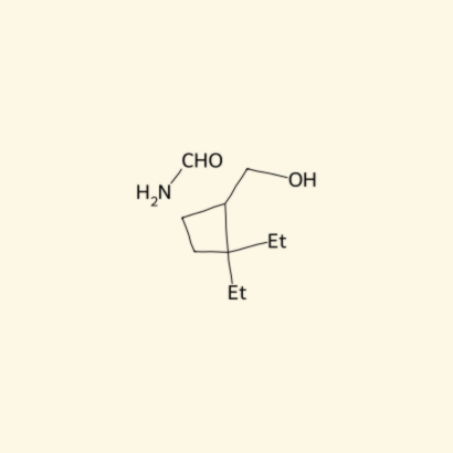 CCC1(CC)CCC1CO.NC=O